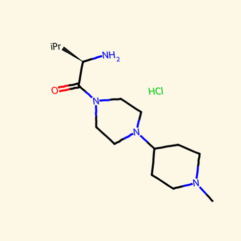 CC(C)[C@@H](N)C(=O)N1CCN(C2CCN(C)CC2)CC1.Cl